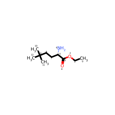 CCOC(=O)[C@@H](N)CCC(C)(C)C